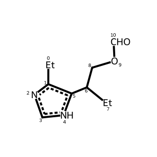 CCc1nc[nH]c1C(CC)COC=O